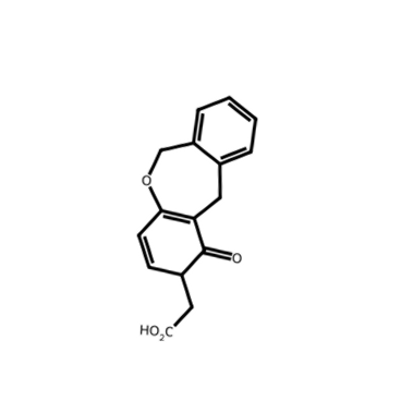 O=C(O)CC1C=CC2=C(Cc3ccccc3CO2)C1=O